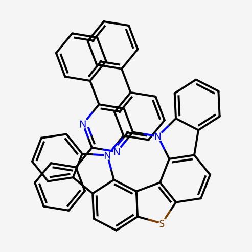 c1ccc(-c2cccc(-n3c4ccccc4c4ccc5sc6ccc7c8ccccc8n(-c8cc(-c9ccccc9)nc(-c9ccccc9)n8)c7c6c5c43)c2)cc1